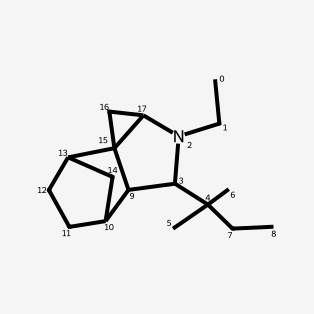 CCN1C(C(C)(C)CC)C2C3CCC(C3)C23CC13